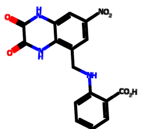 O=C(O)c1ccccc1NCc1cc([N+](=O)[O-])cc2[nH]c(=O)c(=O)[nH]c12